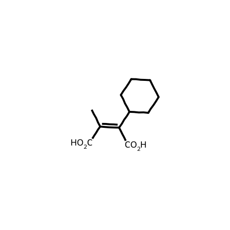 C/C(C(=O)O)=C(/C(=O)O)C1CCCCC1